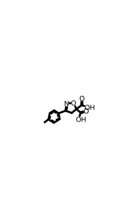 Cc1ccc(C2=NOC(C(=O)O)(C(=O)O)C2)cc1